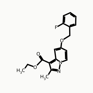 CCOC(=O)c1c(C)nn2ccc(OCc3ccccc3F)cc12